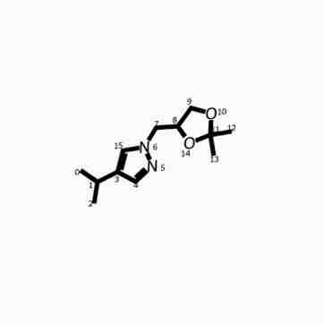 CC(C)c1cnn(CC2COC(C)(C)O2)c1